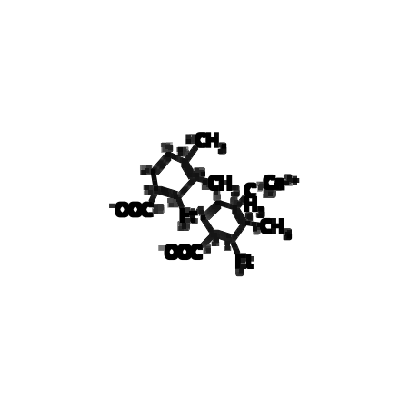 CCc1c(C(=O)[O-])ccc(C)c1C.CCc1c(C(=O)[O-])ccc(C)c1C.[Ca+2]